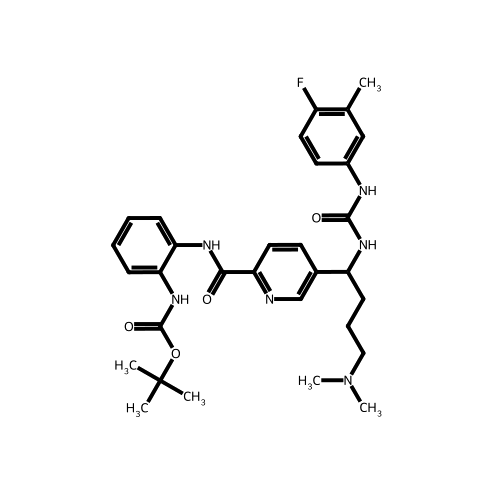 Cc1cc(NC(=O)NC(CCCN(C)C)c2ccc(C(=O)Nc3ccccc3NC(=O)OC(C)(C)C)nc2)ccc1F